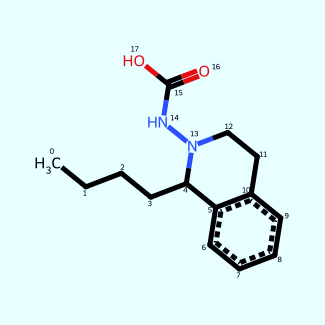 CCCCC1c2ccccc2CCN1NC(=O)O